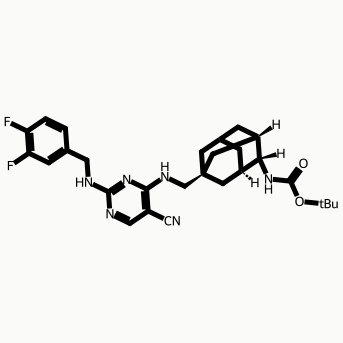 CC(C)(C)OC(=O)N[C@@H]1[C@@H]2CC3C[C@H]1C[C@@](CNc1nc(NCc4ccc(F)c(F)c4)ncc1C#N)(C3)C2